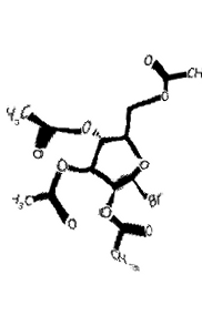 CC(=O)OCC1O[C@@H](Br)[C@@H](OC(C)=O)C(OC(C)=O)[C@@H]1OC(C)=O